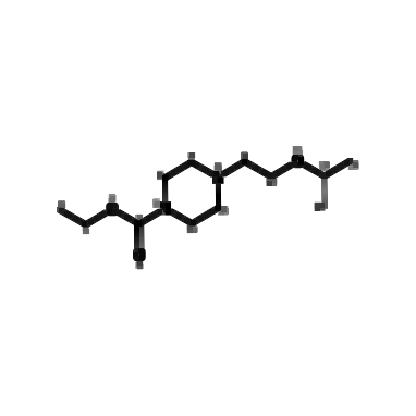 CCOC(=O)N1CCN(CCOC(C)C)CC1